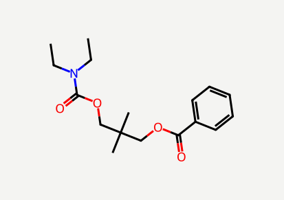 CCN(CC)C(=O)OCC(C)(C)COC(=O)c1ccccc1